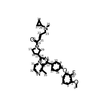 COc1cccc(Oc2ccc(-c3nc(C4CCN(C(=O)C=CCN(C)C5CC5)C4)n4ccnc(C)c34)cc2)c1F